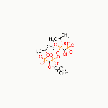 C=C(C)OP(=O)([O-])C(O)P(=O)([O-])[O-].C=C(C)OP(=O)([O-])C(O)P(=O)([O-])[O-].[Cu+2].[Cu+2].[Cu+2]